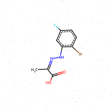 CC(=NNc1cc(F)ccc1Br)C(=O)O